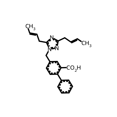 C/C=C/Cc1nc(C/C=C/C)n(Cc2ccc(-c3ccccc3)c(C(=O)O)c2)n1